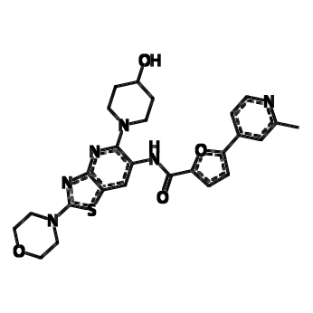 Cc1cc(-c2ccc(C(=O)Nc3cc4sc(N5CCOCC5)nc4nc3N3CCC(O)CC3)o2)ccn1